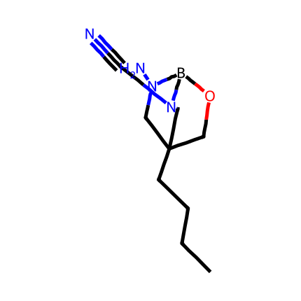 CCCCC12COB(N(N)C1)N(C#N)C2